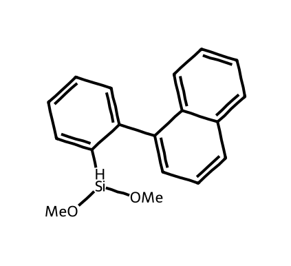 CO[SiH](OC)c1ccccc1-c1cccc2ccccc12